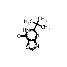 CC(C)(C)c1nc2ncsc2c(=O)[nH]1